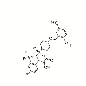 Cc1ccc(C)c(COC2CCN(S(=O)(=O)CC(c3ccc(F)cc3C(F)(F)F)N(O)C=O)CC2)c1